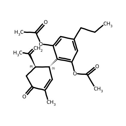 C=C(C)[C@@H]1CC(=O)C(C)=C[C@H]1c1c(OC(C)=O)cc(CCC)cc1OC(C)=O